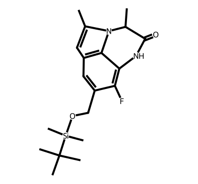 Cc1cc2cc(CO[Si](C)(C)C(C)(C)C)c(F)c3c2n1C(C)C(=O)N3